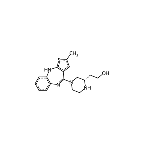 Cc1cc2c(s1)Nc1ccccc1N=C2N1CCN[C@@H](CCO)C1